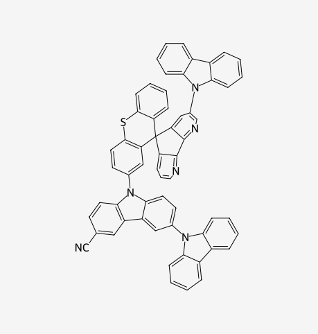 N#Cc1ccc2c(c1)c1cc(-n3c4ccccc4c4ccccc43)ccc1n2-c1ccc2c(c1)C1(c3ccccc3S2)c2cccnc2-c2ncc(-n3c4ccccc4c4ccccc43)cc21